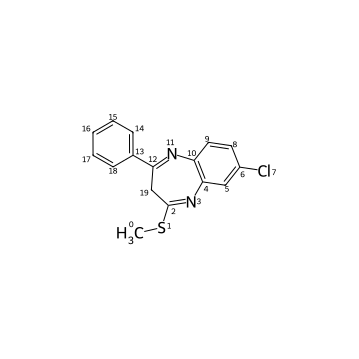 CSC1=Nc2cc(Cl)ccc2N=C(c2ccccc2)C1